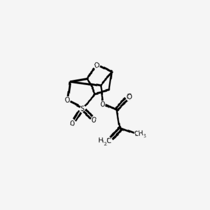 C=C(C)C(=O)OC1C2CC3C(O2)C1OS3(=O)=O